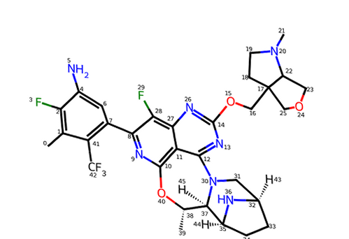 Cc1c(F)c(N)cc(-c2nc3c4c(nc(OCC56CCN(C)C5COC6)nc4c2F)N2C[C@H]4CC[C@H](N4)[C@H]2[C@H](C)O3)c1C(F)(F)F